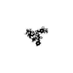 Cc1oc2c(c1CC(=O)N=c1scc(-c3ccc(OC(F)(F)F)c(Cl)c3)n1COC(=O)[C@H](Cc1ccccc1)NC(=O)OC(C)(C)C)c(=O)n(C)c(=O)n2C